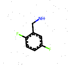 [NH]Cc1cc(F)ccc1F